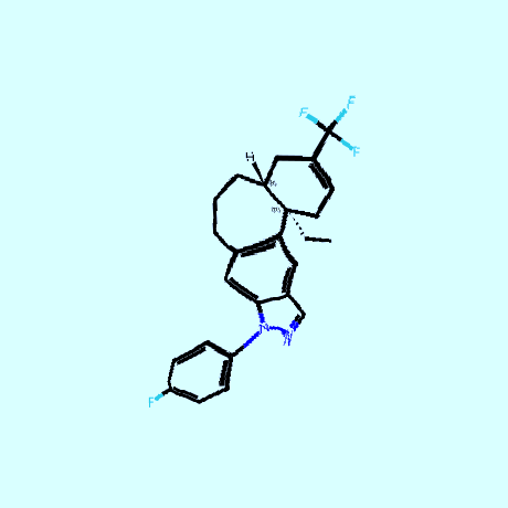 CC[C@@]12CC=C(C(F)(F)F)C[C@H]1CCCc1cc3c(cnn3-c3ccc(F)cc3)cc12